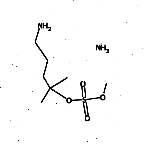 COS(=O)(=O)OC(C)(C)CCCN.N